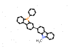 Cn1c2ccccc2c2ccc(-c3ccc4c5ccccc5p(-c5ccccc5)c4c3)cc21